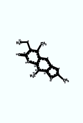 Cc1cc2cc3c(C)c(CN)c(=O)oc3c(C)c2o1